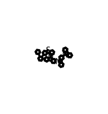 c1ccc(-c2ccccc2-c2ccc3sc4cccc(-n5c6ccccc6c6ccc(-n7c8ccccc8c8cc(-n9c%10ccccc%10c%10ccccc%109)ccc87)cc65)c4c3c2)cc1